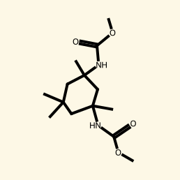 COC(=O)NC1(C)CC(C)(C)CC(C)(NC(=O)OC)C1